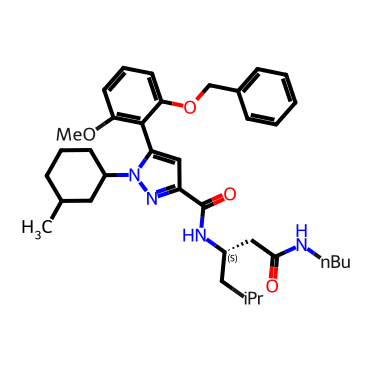 CCCCNC(=O)C[C@H](CC(C)C)NC(=O)c1cc(-c2c(OC)cccc2OCc2ccccc2)n(C2CCCC(C)C2)n1